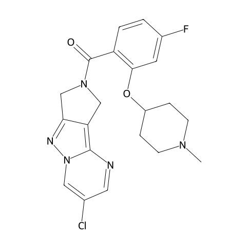 CN1CCC(Oc2cc(F)ccc2C(=O)N2Cc3nn4cc(Cl)cnc4c3C2)CC1